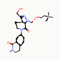 CN1CCc2ccc(N3CCc4c(CO)nn(COCC[Si](C)(C)C)c4C3=O)cc2C1=O